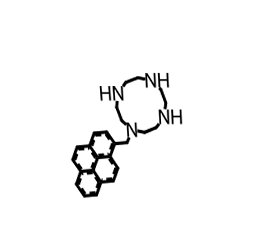 c1cc2ccc3ccc(CN4CCNCCNCCNCC4)c4ccc(c1)c2c34